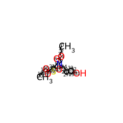 CCCCOC(=O)CN(Cc1csc(C(=O)OCCCC)c1)C(=O)CC1CCc2cc(O)ccc21